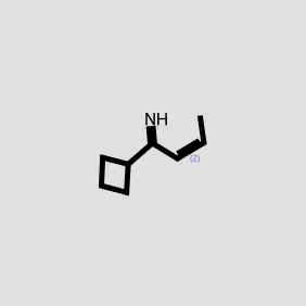 C/C=C\C(=N)C1CCC1